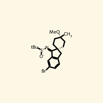 CO[C@]1(C)CC[C@]2(CC1)Cc1ccc(Br)cc1C2=N[S+]([O-])C(C)(C)C